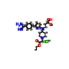 CCOC(=O)CN1CCC(N(CCC(=O)O)c2nc(-c3ccc(C(=N)N)cc3)cs2)CC1.Cl